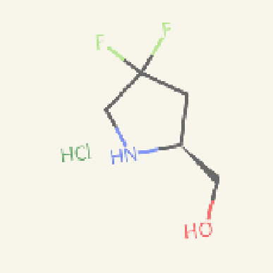 Cl.OC[C@@H]1CC(F)(F)CN1